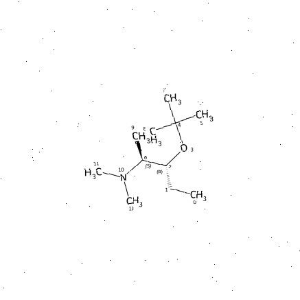 CC[C@@H](OC(C)(C)C)[C@H](C)N(C)C